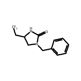 O=C1NC(CC(F)(F)F)CN1Cc1ccccc1